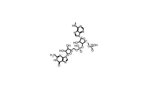 CNc1ncnc2c1ncn2[C@@H]1O[C@H](CO[PH](=O)O)C(OP(=O)(O)OC[C@H]2O[C@@H](n3cnc4c(=O)[nH]c(N)nc43)C(O)C2O)C1O